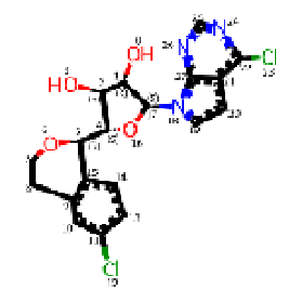 O[C@@H]1[C@H](O)[C@@H]([C@@H]2OCCc3cc(Cl)ccc32)O[C@@H]1n1ccc2c(Cl)ncnc21